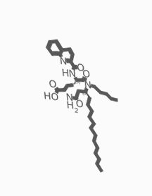 CCCCCCCCCCCCC[C@@H](CC(N)=O)N(CCCCC)C(=O)[C@H](CCCC(=O)O)NC(=O)c1ccc2ccccc2n1